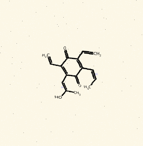 C=CC1=C(/C=C\C)C(=O)C(/C=C(\C)O)=C(C=C)C1=O